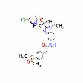 CCn1c(C(C)(C)Oc2ccc(Cl)cn2)nc2cc(NC(=O)Cc3ccc([SH](C)(=O)CC)cc3)ccc21